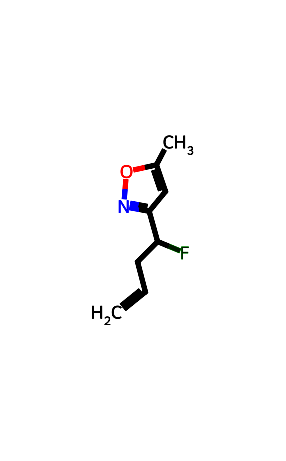 C=CCC(F)c1cc(C)on1